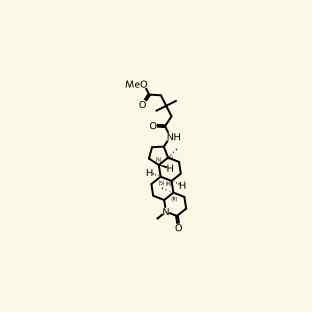 COC(=O)CC(C)(C)CC(=O)NC1CC[C@H]2[C@@H]3CCC4N(C)C(=O)CC[C@]4(C)[C@@H]3CC[C@]12C